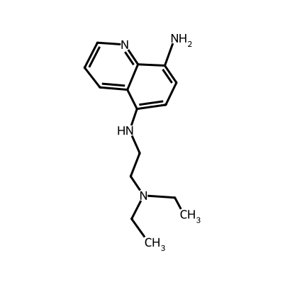 CCN(CC)CCNc1ccc(N)c2ncccc12